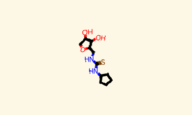 OC1COC(CNC(=S)NC2CCCC2)C1O